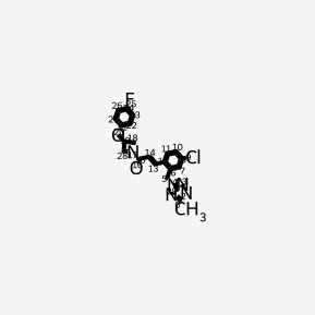 Cc1nnn(Cc2cc(Cl)ccc2/C=C/C(=O)N2CC(Oc3ccc(F)cc3)C2)n1